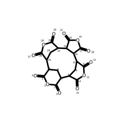 O=C1OC(=O)C2CC1C1CC(C(=O)OC1=O)C1C(=O)OC(=O)C1C1CC2C(=O)OC1=O